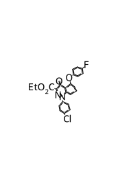 CCOC(=O)c1nn(-c2ccc(Cl)cc2)c2cccc(Oc3ccc(F)cc3)c2c1=O